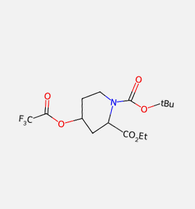 CCOC(=O)C1CC(OC(=O)C(F)(F)F)CCN1C(=O)OC(C)(C)C